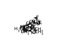 CC1=C[C@]23C(O)[C@@H](C=C4COC(C)(C)O[C@H]4[C@]2(O)[C@H]1OC(=O)c1cccn1C1CC1)[C@H]1[C@@H](C[C@H]3C)C1(C)C